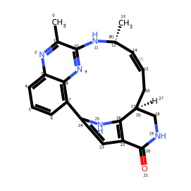 Cc1nc2cccc3c2nc1N[C@H](C)/C=C\C[C@H]1CNC(=O)c2cc-3[nH]c21